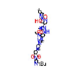 C=CC(=O)Nc1cc(Nc2nc(-c3ccnc(N4CCn5c(cc6c5CC(C)(C)C6)C4=O)c3CO)cn(C)c2=O)ccc1N1CCN(C2CCN(c3ccc4c(c3)C(=O)N(c3ccnc(C(C)(C)C)c3)C4=O)[C@@H](C)C2)C[C@@H]1C